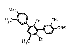 CCc1c(C)[c]c(-c2ccc(OC)c(C)c2)c(CC)c1-c1ccc(OC)c(C)c1